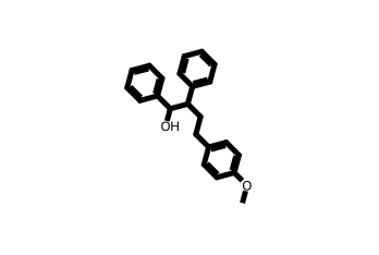 COc1ccc(CCC(c2ccccc2)C(O)c2ccccc2)cc1